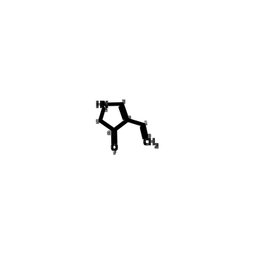 C=CC1=CNCC1=O